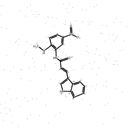 CNc1ccc([N+](=O)[O-])cc1NC(=O)/C=C/c1c[nH]c2ccccc12